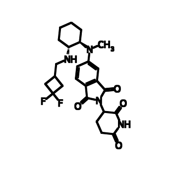 CN(c1ccc2c(c1)C(=O)N(C1CCC(=O)NC1=O)C2=O)[C@@H]1CCCC[C@H]1NCC1CC(F)(F)C1